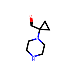 O=CC1(N2CCNCC2)CC1